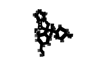 OC(Cn1cnnn1)(c1ccc(CI)cc1F)C(F)(F)c1ccc(F)cn1